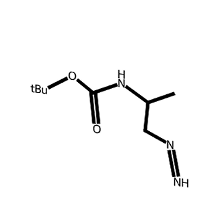 CC(CN=N)NC(=O)OC(C)(C)C